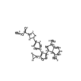 CC(C)(C)OC(=O)N1CC[C@@H](c2cnc(-c3c(-c4nn(C(C)(C)C)c5ncnc(N)c45)noc3C3CC3)nc2)C1